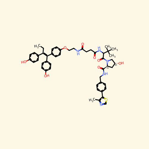 CCC(=C(c1ccc(O)cc1)c1ccc(OCCNC(=O)CCC(=O)NC(C(=O)N2C[C@H](O)C[C@H]2C(=O)NCc2ccc(-c3scnc3C)cc2)C(C)(C)C)cc1)c1ccc(O)cc1